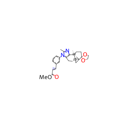 COC(=O)/C=C/c1cccc(-n2c(C)nc3c2CC[C@@]24CC2(C)C2(CC[C@]34C)OCCO2)c1